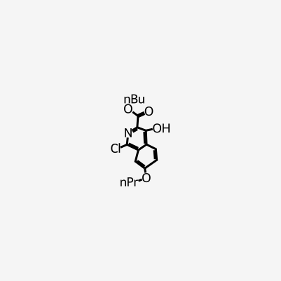 CCCCOC(=O)c1nc(Cl)c2cc(OCCC)ccc2c1O